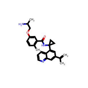 C=C(C)c1cc(C2(NC(=O)c3cc(OCC(C)N)ccc3C)CC2)c2cccnc2c1